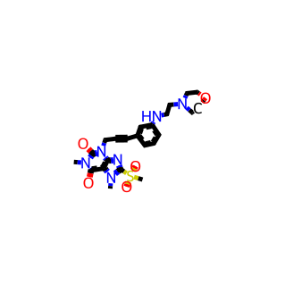 Cn1c(=O)c2c(nc(S(C)(=O)=O)n2C)n(CC#Cc2cccc(NCCN3CCOCC3)c2)c1=O